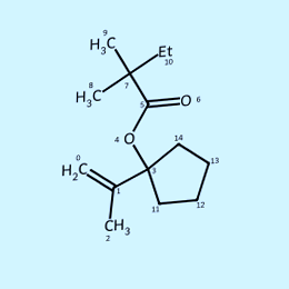 C=C(C)C1(OC(=O)C(C)(C)CC)CCCC1